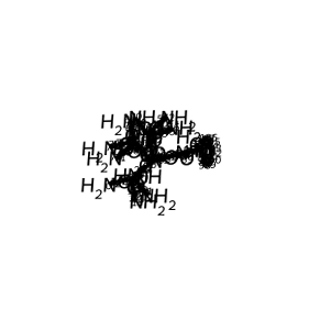 NCCCOCC(COCCCN)(COCCCN)NC(=O)CCOCC(COCCC(=O)NC(COCCCN)(COCCCN)COCCCN)(COCCC(=O)NC(COCCCN)(COCCCN)COCCCN)NC(=O)CCOCCNC(=O)CCC(=O)N1Cc2ccccc2C#Cc2ccccc21